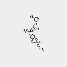 CCOC(=O)[C@H]1COc2cc(C[C@@H](C)NC[C@H](O)COc3cncc(Cl)c3)ccc2O1